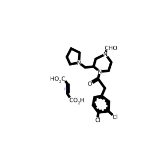 O=C(O)/C=C/C(=O)O.O=CN1CCN(C(=O)Cc2ccc(Cl)c(Cl)c2)C(CN2CCCC2)C1